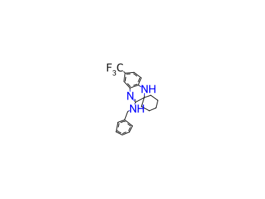 FC(F)(F)c1ccc2c(c1)N=C(NCc1ccccc1)C1(CCCCC1)N2